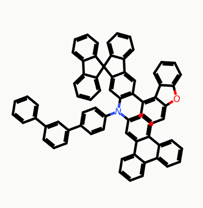 c1ccc(-c2cccc(-c3ccc(N(c4ccc5c6ccccc6c6ccccc6c5c4)c4cc5c(cc4-c4cccc6oc7ccccc7c46)-c4ccccc4C54c5ccccc5-c5ccccc54)cc3)c2)cc1